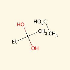 CC(=O)O.CCC(C)(O)O